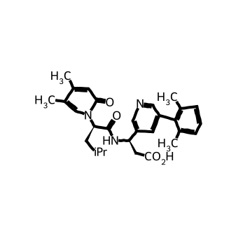 Cc1cc(=O)n([C@H](CC(C)C)C(=O)N[C@H](CC(=O)O)c2cncc(-c3c(C)cccc3C)c2)cc1C